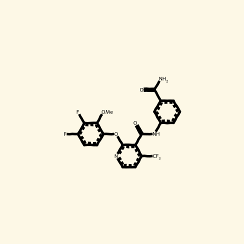 COc1c(Oc2nccc(C(F)(F)F)c2C(=O)Nc2cccc(C(N)=O)c2)ccc(F)c1F